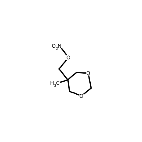 CC1(CO[N+](=O)[O-])COCOC1